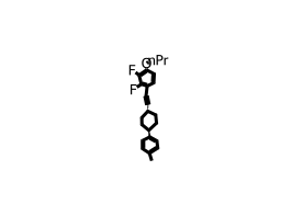 CCCOc1ccc(C#C[C@H]2CC[C@H](c3ccc(C)cc3)CC2)c(F)c1F